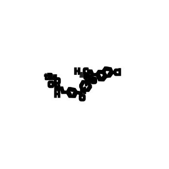 C=CC(c1ccc2cc(Cl)ccc2c1)S(=O)(=O)N1CCN(C(=O)c2ccc(CCNC(=O)OC(C)(C)C)cc2)CC1